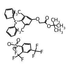 Cc1cc(OCC(=O)OC(C)(C)C)cc(C)c1[S+](c1ccccc1)c1ccccc1.O=S(=O)([O-])c1ccc(C(F)(F)F)cc1C(F)(F)F